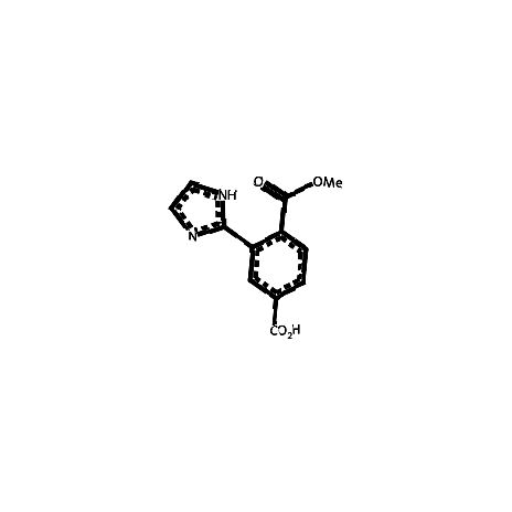 COC(=O)c1ccc(C(=O)O)cc1-c1ncc[nH]1